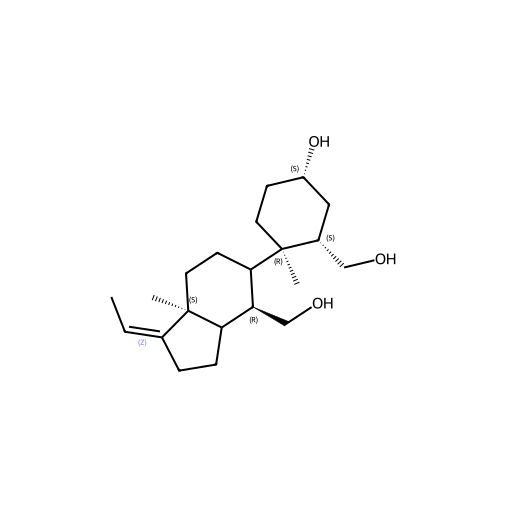 C/C=C1/CCC2[C@H](CO)C([C@@]3(C)CC[C@H](O)C[C@@H]3CO)CC[C@]12C